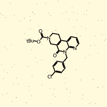 CC(C)(C)OC(=O)N1CCc2c(c(=O)n(Cc3ccc(Cl)cc3)c3ncccc23)C1